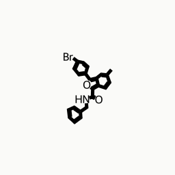 Cc1ccc2c(C(=O)NCc3ccccc3)oc(-c3ccc(Br)cc3)c2c1